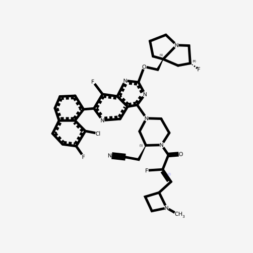 CN1CCC1/C=C(\F)C(=O)N1CCN(c2nc(OC[C@@]34CCCN3C[C@H](F)C4)nc3c(F)c(-c4cccc5ccc(F)c(Cl)c45)ncc23)C[C@@H]1CC#N